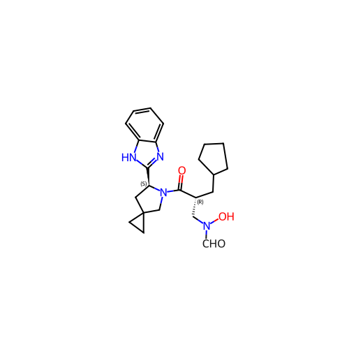 O=CN(O)C[C@@H](CC1CCCC1)C(=O)N1CC2(CC2)C[C@H]1c1nc2ccccc2[nH]1